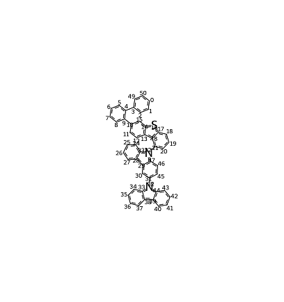 c1ccc(-c2ccccc2-c2ccc3c(c2)sc2cccc(-n4c5ccccc5c5cc(-n6c7ccccc7c7ccccc76)ccc54)c23)cc1